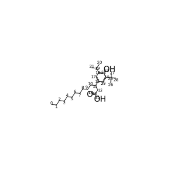 CCCCCCCCCCCC(CC(=O)O)c1cc(C(C)C)c(O)c(C(C)(C)C)c1